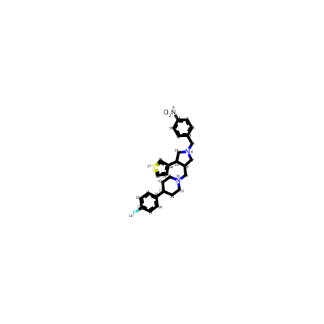 O=[N+]([O-])c1ccc(CN2CC(CN3CCC(c4ccc(F)cc4)CC3)C(c3ccsc3)C2)cc1